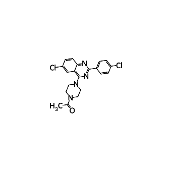 CC(=O)N1CCN(c2nc(-c3ccc(Cl)cc3)nc3ccc(Cl)cc23)CC1